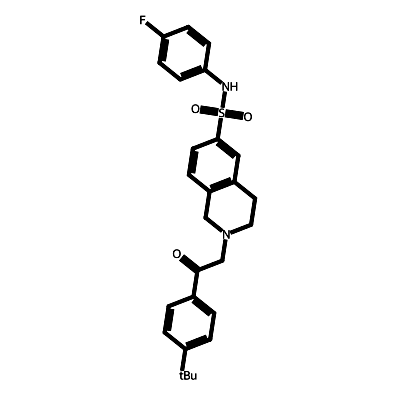 CC(C)(C)c1ccc(C(=O)CN2CCc3cc(S(=O)(=O)Nc4ccc(F)cc4)ccc3C2)cc1